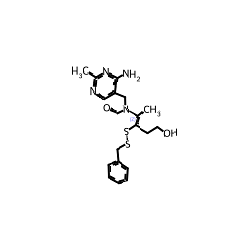 C/C(=C(\CCO)SSCc1ccccc1)N(C=O)Cc1cnc(C)nc1N